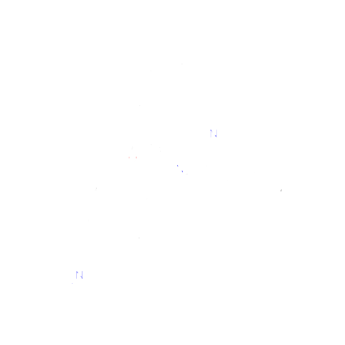 NCC1CCCC(Cn2c(-c3ccccc3)nc3ccccc3c2=O)C1